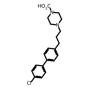 O=C(O)N1CCN(CCCc2ccc(-c3ccc(Cl)cc3)cc2)CC1